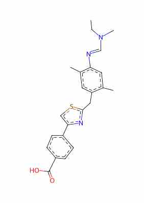 CCN(C)C=Nc1cc(C)c(Cc2nc(-c3ccc(C(=O)O)cc3)cs2)cc1C